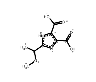 COC(C)c1nc(C(=O)O)c(C(=O)O)[nH]1